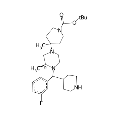 C[C@H]1CN(C2(C)CCN(C(=O)OC(C)(C)C)CC2)CCN1C(c1cccc(F)c1)C1CCNCC1